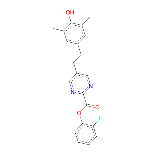 Cc1cc(CCc2cnc(C(=O)Oc3ccccc3F)nc2)cc(C)c1O